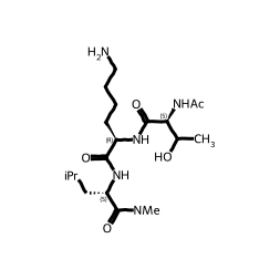 CNC(=O)[C@H](CC(C)C)NC(=O)[C@@H](CCCCN)NC(=O)[C@@H](NC(C)=O)C(C)O